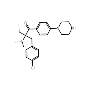 CCC(Cc1ccc(Cl)cc1)(C(=O)c1ccc(N2CCNCC2)cc1)N(C)C